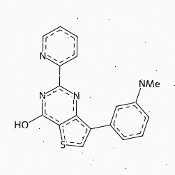 CNc1cccc(-c2csc3c(O)nc(-c4ccccn4)nc23)c1